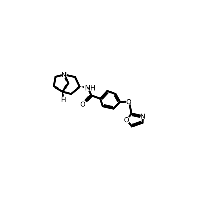 O=C(N[C@@H]1C[C@@H]2CCN(C2)C1)c1ccc(Oc2ncco2)cc1